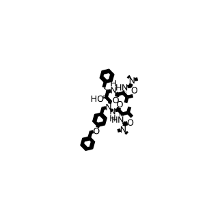 CC(C)[C@H](NC(=O)N(C)C)C(=O)N[C@@H](Cc1ccccc1)[C@@H](O)CN(Cc1ccc(OCc2ccccc2)cc1)NC(=O)[C@@H](NC(=O)N(C)C)C(C)C